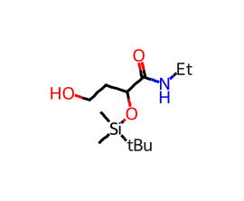 CCNC(=O)C(CCO)O[Si](C)(C)C(C)(C)C